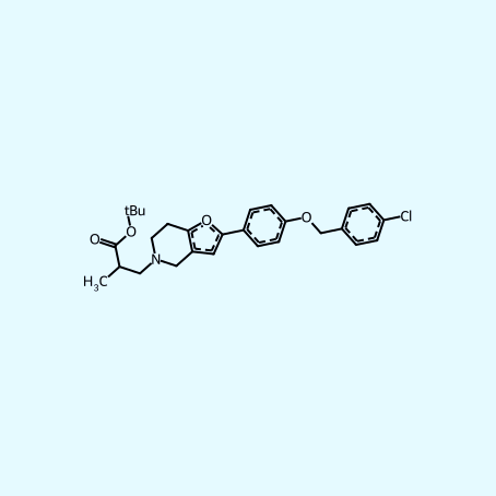 CC(CN1CCc2oc(-c3ccc(OCc4ccc(Cl)cc4)cc3)cc2C1)C(=O)OC(C)(C)C